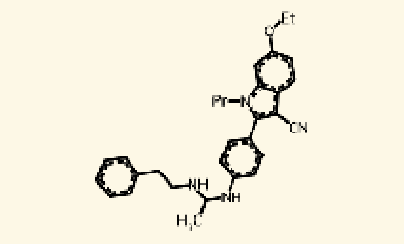 CCOc1ccc2c(C#N)c(-c3ccc(NC(C)NCCc4ccccc4)cc3)n(C(C)C)c2c1